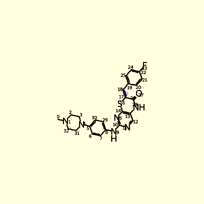 CN1CCN(c2ccc(Nc3ncc4c(n3)S/C(=C/c3ccc(F)cc3)C(=O)N4)cc2)CC1